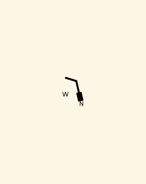 CCC#N.[W]